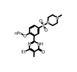 CCCOc1ccc(S(=O)(=O)N2CCN(C)CC2)cc1-c1nc(CC)c(C)c(=O)[nH]1